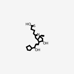 C=CC12CC(O)C(C=CC(O)C3CCCC3)C1CC(CCCC(O)=S)=N2